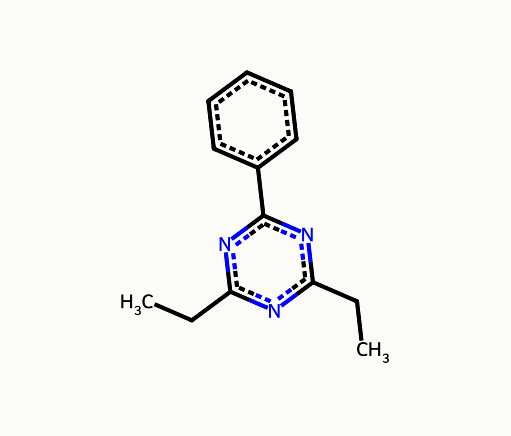 CCc1nc(CC)nc(-c2ccccc2)n1